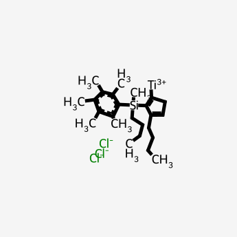 CCCCC1=CC[C]([Ti+3])=C1[Si](C)(CCCC)c1c(C)c(C)c(C)c(C)c1C.[Cl-].[Cl-].[Cl-]